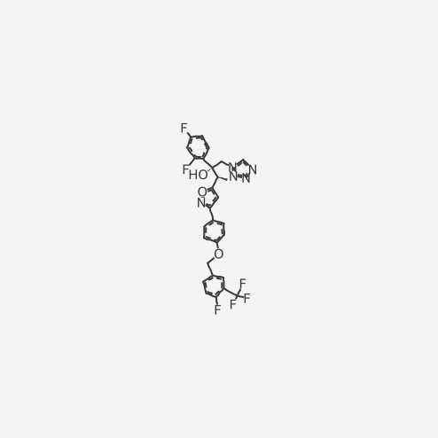 C[C@@H](c1cc(-c2ccc(OCc3ccc(F)c(C(F)(F)F)c3)cc2)no1)[C@](O)(Cn1cnnn1)c1ccc(F)cc1F